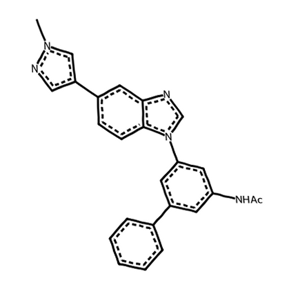 CC(=O)Nc1cc(-c2ccccc2)cc(-n2cnc3cc(-c4cnn(C)c4)ccc32)c1